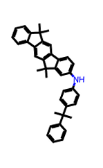 CC(C)(c1ccccc1)c1ccc(Nc2ccc3c(c2)C(C)(C)c2cc4c(cc2-3)C(C)(C)c2ccccc2-4)cc1